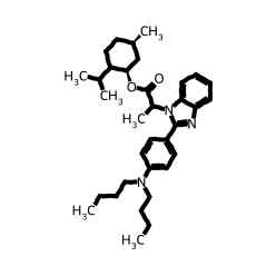 CCCCN(CCCC)c1ccc(-c2nc3ccccc3n2C(C)C(=O)O[C@@H]2C[C@H](C)CCC2C(C)C)cc1